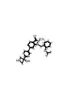 Cn1c(=O)c2ccc(-c3cnc(C4(O)CNC4)nc3)cc2n1Cc1ccccc1OC(F)F